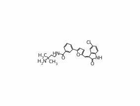 CC(C)(N)CCNC(=O)c1cccc(-c2ccc(/C=C3/C(=O)Nc4ccc(Cl)cc43)o2)c1